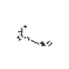 CC(=O)C(OC(CNOCCOCCCCCn1cc(CN2CCSCC2)nn1)OC(C)C(C)C)C(CO)OC(C)(C)C